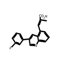 C/C(=C\c1cccc2ncc(-c3cccc(F)c3)cc12)C(=O)O